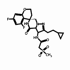 CS(=O)(=O)CC(=O)NC1C(CCC2CC2)=NN2C[C@]3(CCOc4cc(F)cc(F)c43)NC(=O)C12